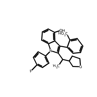 CC(c1c(-c2ccccc2C(=O)O)c2c(O)cccc2n1-c1ccc(F)cc1)C1CCOC1